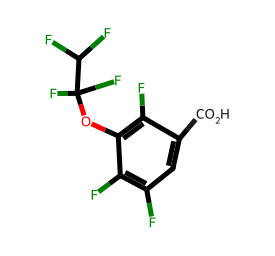 O=C(O)c1cc(F)c(F)c(OC(F)(F)C(F)F)c1F